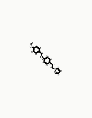 COc1ccc(COc2ccc(CCn3cccn3)cc2)cc1